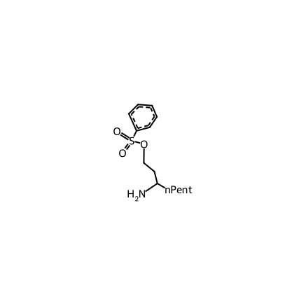 CCCCCC(N)CCOS(=O)(=O)c1ccccc1